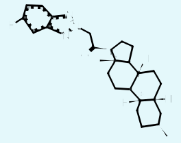 C[C@H]1CC[C@]2(F)C3CC[C@@]4(C)C(CC[C@@H]4C(=O)Cn4nc5ccc(F)cc5n4)[C@@H]3CC[C@@H]2C1